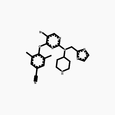 Cc1cc(C#N)cc(C)c1Oc1nc(N(Cc2nccs2)C2CCNCC2)ncc1Br